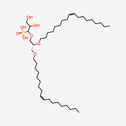 CCCCCCCC/C=C\CCCCCCCCOC[C@H](COC(C(O)CO)P(=O)(O)O)OCCCCCCCC/C=C\CCCCCCCC